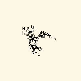 CSc1nsc(SCC2(C(=O)OC(C)(C)C)CS[C@@H]3C(N)C(=O)N3C2)n1